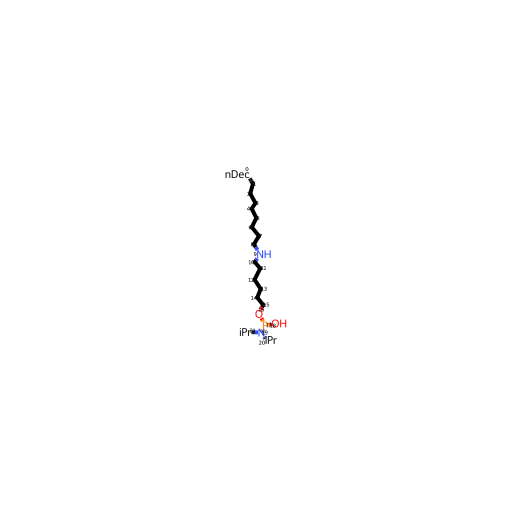 CCCCCCCCCCCCCCCCCCNCCCCCCOP(O)N(C(C)C)C(C)C